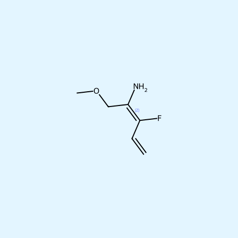 C=C/C(F)=C(/N)COC